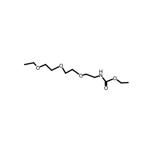 CCOCCOCCOCCNC(=O)OCC